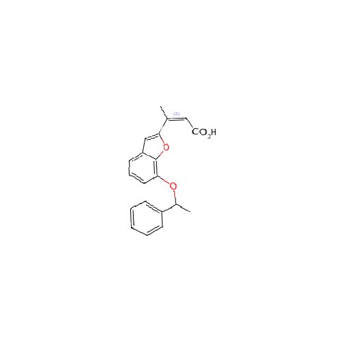 C/C(=C/C(=O)O)c1cc2cccc(OC(C)c3ccccc3)c2o1